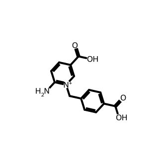 Nc1ccc(C(=O)O)c[n+]1Cc1ccc(C(=O)O)cc1